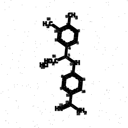 Cc1ccc(C(Nc2ccc(C(=N)N)cc2)C(=O)O)cc1C.Cl